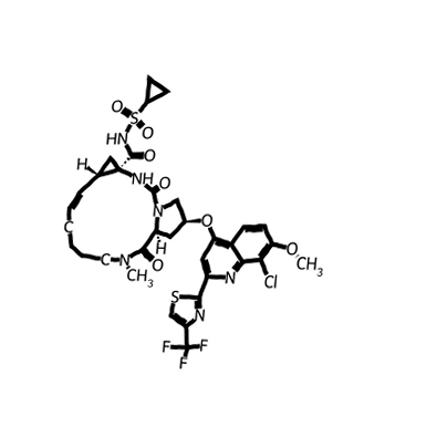 COc1ccc2c(O[C@H]3C[C@H]4C(=O)N(C)CCCC/C=C\[C@@H]5C[C@@]5(C(=O)NS(=O)(=O)C5CC5)NC(=O)N4C3)cc(-c3nc(C(F)(F)F)cs3)nc2c1Cl